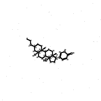 CCO[C@H]1CC[C@]2(C)C3CC[C@]4(C)[C@H](c5ccc(=O)oc5)CC[C@]4(O)C3CC[C@@H]2C1